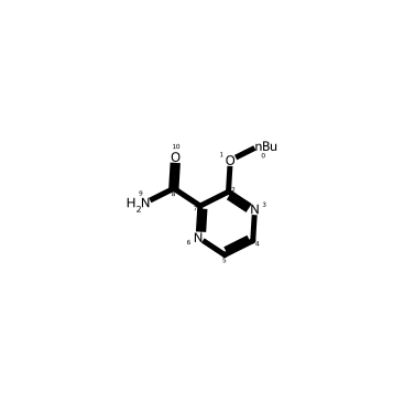 CCCCOc1nccnc1C(N)=O